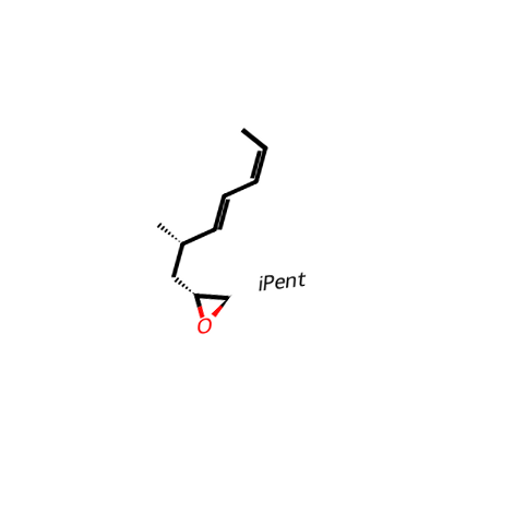 C/C=C\C=C\[C@@H](C)C[C@H]1O[C@@H]1[C@H](C)CCC